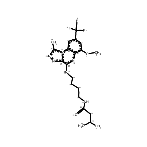 COc1cc(C(F)(F)F)cc2c1nc(NCCCCNC(=O)CC(C)C)c1nnc(C)n12